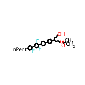 C=C(C)C(=O)OCCCC(CCCO)c1ccc(C2CCC(c3c(F)cc(-c4ccc(CCCCC)cc4F)cc3F)CC2)cc1